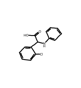 O=C(O)C(Nc1ccccc1)c1ccccc1Cl